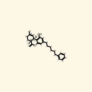 C=C1Oc2cc(CCCCCCc3ccccc3)cc(O)c2[C@@H]2C=C(C)CC[C@@H]12